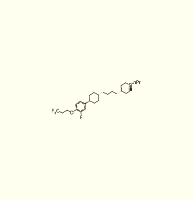 CCC[Si@H]1CC[C@H](CCCC[C@H]2CC[C@H](c3ccc(OCCC(F)(F)F)c(F)c3)CC2)CC1